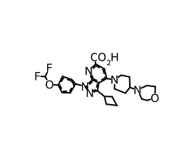 O=C(O)c1cc(N2CCC(N3CCOCC3)CC2)c2c(C3CCC3)nn(-c3ccc(OC(F)F)cc3)c2n1